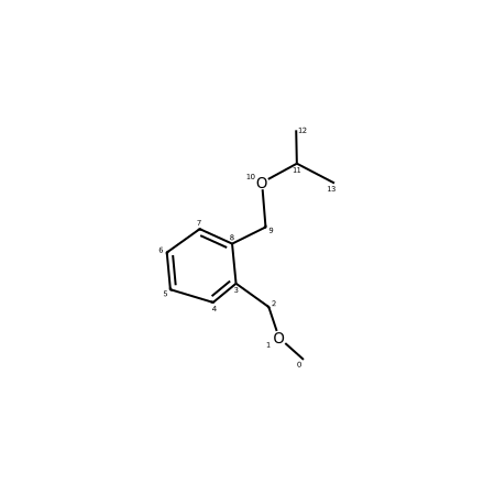 COCc1ccccc1COC(C)C